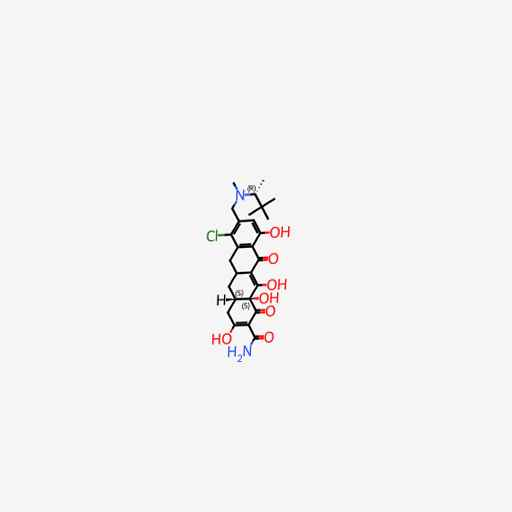 C[C@@H](N(C)Cc1cc(O)c2c(c1Cl)CC1C[C@H]3CC(O)=C(C(N)=O)C(=O)[C@@]3(O)C(O)=C1C2=O)C(C)(C)C